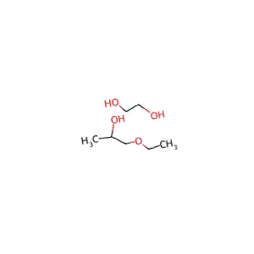 CCOCC(C)O.OCCO